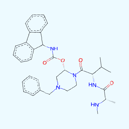 CN[C@@H](C)C(=O)N[C@H](C(=O)N1CCN(Cc2ccccc2)C[C@@H]1OC(=O)NC1c2ccccc2-c2ccccc21)C(C)C